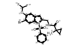 CC1(C(=O)NCc2cc3cc(OC(F)F)c(Br)cc3n2S(=O)(=O)c2ccccc2)CC1